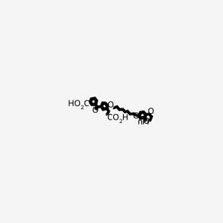 CCCc1c(OCCCCCCCCOc2ccc(C(=O)c3cccc(C(=O)O)c3)cc2CCC(=O)O)ccc2c1OCCC2=O